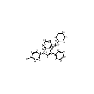 Cc1ccc(-n2cc(-c3ccccc3)c3c(NC4CCCCC4)ncnc32)cc1